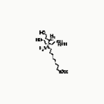 CCCCCCCCCCCCCCCCCCN(N)C(CCO)(CCO)C(C)CCO.F.F